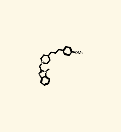 COc1ccc(CCCC2CCN(Cc3nc4ccccc4n3C)CC2)cc1